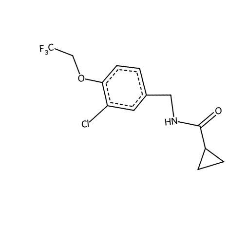 O=C(NCc1ccc(OCC(F)(F)F)c(Cl)c1)C1CC1